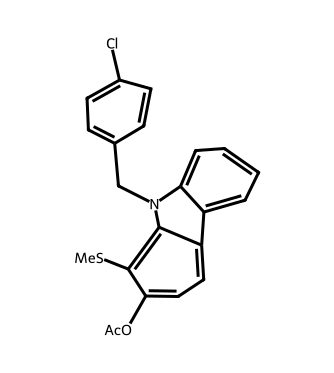 CSc1c(OC(C)=O)ccc2c3ccccc3n(Cc3ccc(Cl)cc3)c12